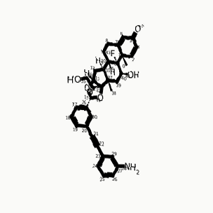 C[C@]12C=CC(=O)C=C1CC[C@H]1[C@@H]3C[C@H]4O[C@@H](c5cccc(C#Cc6cccc(N)c6)c5)O[C@@]4(C(=O)CO)[C@@]3(C)C[C@H](O)[C@@]12F